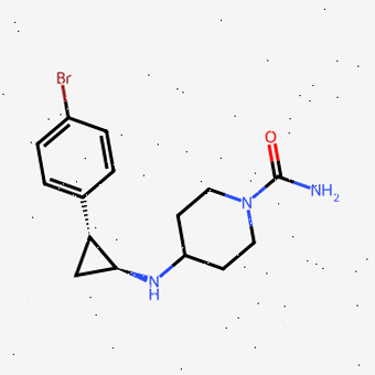 NC(=O)N1CCC(N[C@H]2C[C@@H]2c2ccc(Br)cc2)CC1